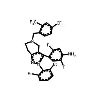 CCc1cccc(CC)c1-n1nc2c(c1-c1cc(F)c(N)cc1F)CN(Cc1ccc(C(F)(F)F)cc1C(F)(F)F)CC2